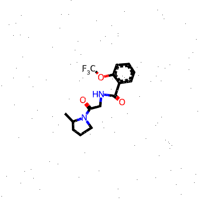 CC1CCCN1C(=O)CNC(=O)c1ccccc1OC(F)(F)F